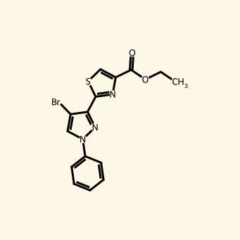 CCOC(=O)c1csc(-c2nn(-c3ccccc3)cc2Br)n1